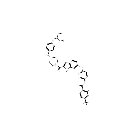 Cc1cc(C(F)(F)F)ccc1C(=O)Nc1ccc(Oc2ccc3cc(C(=O)N4CCN(Cc5ccc(OC(CF)CF)cc5)CC4)n(C)c3c2)nc1.Cl